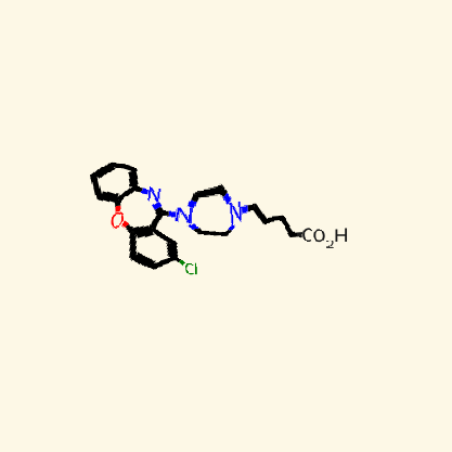 O=C(O)CCCCN1CCN(C2=Nc3ccccc3Oc3ccc(Cl)cc32)CC1